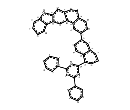 c1ccc(-c2nc(-c3ccccc3)nc(-c3cccc4cc(-c5ccc6ccc7cc8oc9ccccc9c8cc7c6c5)ccc34)n2)cc1